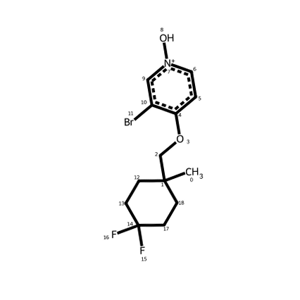 CC1(COc2cc[n+](O)cc2Br)CCC(F)(F)CC1